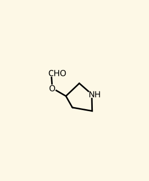 O=COC1CCNC1